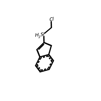 ClC[SiH2]C1=Cc2ccccc2C1